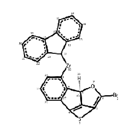 BrC1=C2SC3=C2[C@H](O1)c1[c]([Zr][CH]2c4ccccc4-c4ccccc42)cccc13